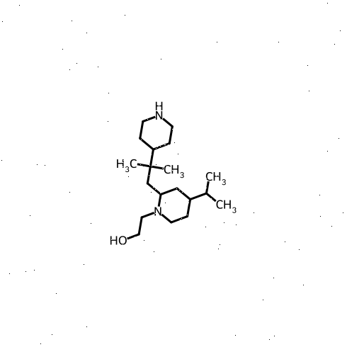 CC(C)C1CCN(CCO)C(CC(C)(C)C2CCNCC2)C1